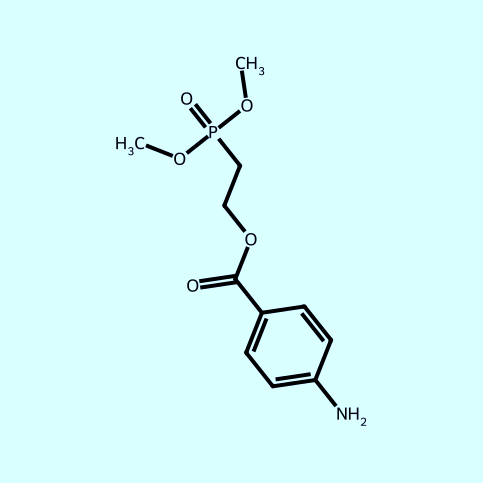 COP(=O)(CCOC(=O)c1ccc(N)cc1)OC